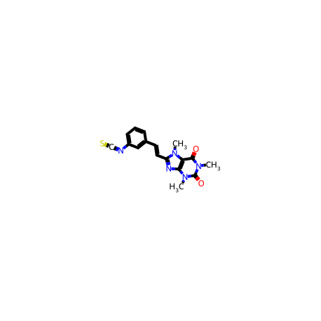 Cn1c(=O)c2c(nc(/C=C/c3cccc(N=C=S)c3)n2C)n(C)c1=O